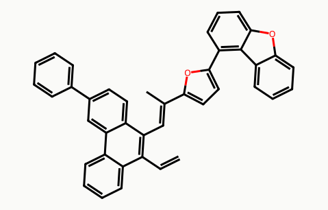 C=Cc1c(/C=C(\C)c2ccc(-c3cccc4oc5ccccc5c34)o2)c2ccc(-c3ccccc3)cc2c2ccccc12